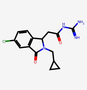 N=C(N)NC(=O)CC1c2ccc(Cl)cc2C(=O)N1CC1CC1